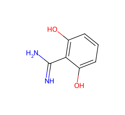 N=C(N)c1c(O)cccc1O